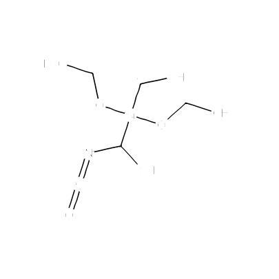 CCO[Si](CC)(OCC)C(C)N=C=O